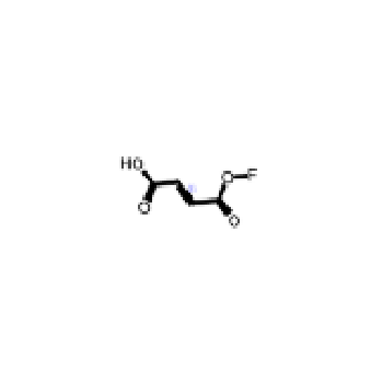 O=C(O)/C=C/C(=O)OF